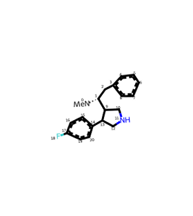 CN[C@H](Cc1ccccc1)C1CNCC1c1ccc(F)cc1